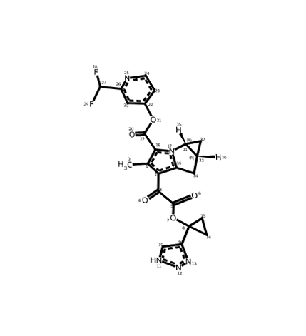 Cc1c(C(=O)C(=O)OC2(c3c[nH]nn3)CC2)c2n(c1C(=O)Oc1ccnc(C(F)F)c1)[C@@H]1C[C@@H]1C2